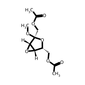 CO[C@@]1(COC(C)=O)O[C@H](COC(C)=O)[C@@H]2O[C@@H]21